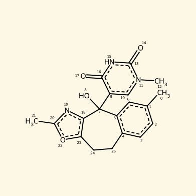 Cc1ccc2c(c1)C(O)(c1cn(C)c(=O)[nH]c1=O)c1nc(C)oc1CC2